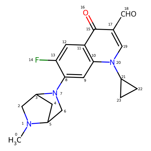 CN1CC2CC1CN2c1cc2c(cc1F)c(=O)c(C=O)cn2C1CC1